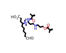 C=C(C)C(=O)NC(CCNCCCOC(=O)C(=C)C)[N+](C)(C)C(CCCCCC=O)CCC(=O)O